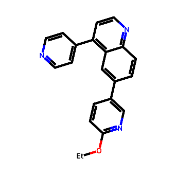 CCOc1ccc(-c2ccc3nccc(-c4ccncc4)c3c2)cn1